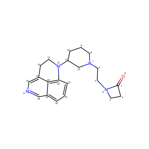 O=C1CCN1CCN1CCCC(N2CCc3cncc4cccc2c34)C1